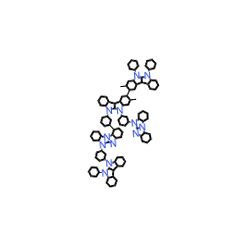 Cc1cc2c(cc1-c1cc3c4c5ccccc5n(-c5cccc(-c6cccc7nc8n(-c9cccc(-n%10c%11ccccc%11c%11c%12ccccc%12n(-c%12ccccc%12)c%11%10)c9)c9ccccc9n8c67)c5)c4n(-c4cccc(-n5c6ccccc6n6c7ccccc7nc56)c4)c3cc1C)c1c3ccccc3n(-c3ccccc3)c1n2-c1ccccc1